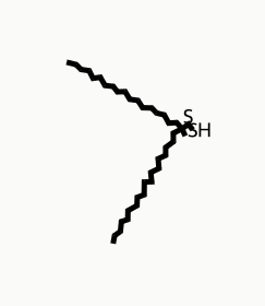 CCCCCCCCCCCCCCCCCCC(C)(CCCCCCCCCCCCCCCCCC)C(=S)S